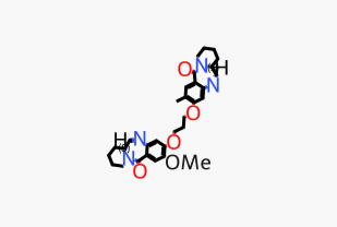 COc1cc2c(cc1OCCCOc1cc3c(cc1C)C(=O)N1CCCC[C@H]1C=N3)N=C[C@@H]1CCCCN1C2=O